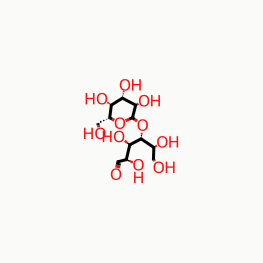 O=C[C@H](O)[C@@H](O)[C@H](OC1O[C@H](CO)[C@H](O)[C@H](O)[C@H]1O)[C@H](O)CO